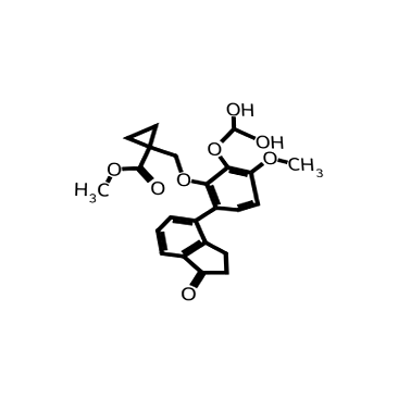 COC(=O)C1(COc2c(-c3cccc4c3CCC4=O)ccc(OC)c2OC(O)O)CC1